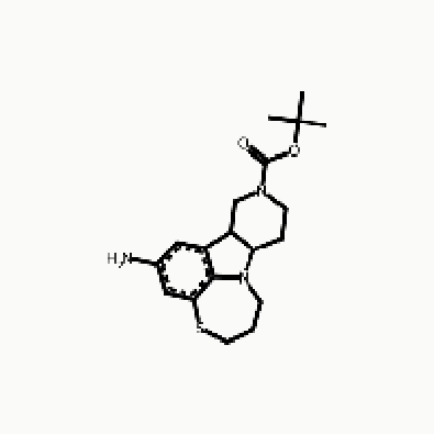 CC(C)(C)OC(=O)N1CCC2C(C1)c1cc(N)cc3c1N2CCCS3